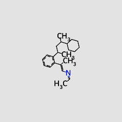 C/C=N\C=C(/C)c1ccccc1C(C)CC(C)C1CCCCC1